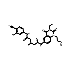 CCn1c(=O)c2cc(NC(=O)CC(C)CC(=O)Nc3ccc(C#N)c(Cl)c3)ccc2n(CCOC)c1=O